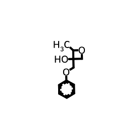 CC1OCC1(O)COc1ccccc1